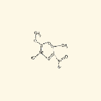 COc1cc(C)c([N+](=O)[O-])c[n+]1[O-]